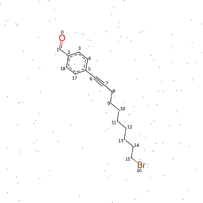 O=Cc1ccc(C#CCCCCCCCCBr)cc1